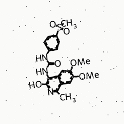 COc1cc2c(C)nc(O)c(NC(=O)Nc3ccc(S(C)(=O)=O)cc3)c2cc1OC